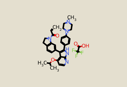 C=CC(=O)N1CCc2ccc(-c3c(-c4ccc(N5CCN(C)CC5)cc4)[nH]c4nccc(OC(C)C)c34)cc21.O=C(O)C(F)(F)F